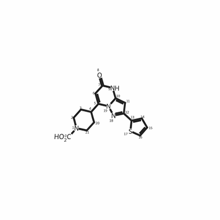 O=C(O)N1CCC(c2cc(=O)[nH]c3cc(-c4cccs4)nn23)CC1